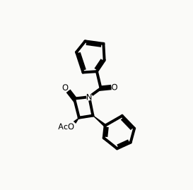 CC(=O)O[C@H]1C(=O)N(C(=O)c2ccccc2)[C@H]1c1ccccc1